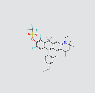 CC[N+]1=c2cc3c(cc2C(C)CC1(C)C)=C(c1ccc(CCl)cc1C)c1cc(F)c(OS(=O)(=O)C(F)(F)F)c(F)c1[Si]3(C)C